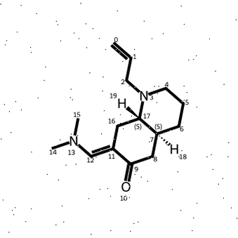 C=CCN1CCC[C@H]2CC(=O)C(=CN(C)C)C[C@@H]21